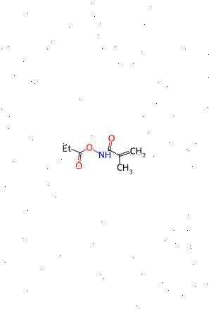 C=C(C)C(=O)NOC(=O)CC